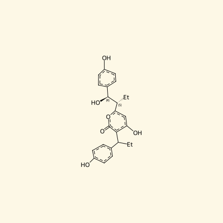 CCC(c1ccc(O)cc1)c1c(O)cc([C@@H](CC)[C@@H](O)c2ccc(O)cc2)oc1=O